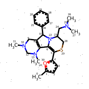 Cc1ccc(C2=C3C4=C(CN(C)CN4C)C(c4ccccc4)N3C(CN(C)C)CS2)o1